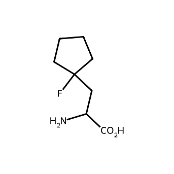 NC(CC1(F)CCCC1)C(=O)O